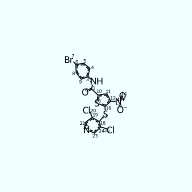 O=C(Nc1ccc(Br)cc1)c1cc([N+](=O)[O-])c(Sc2c(Cl)cncc2Cl)s1